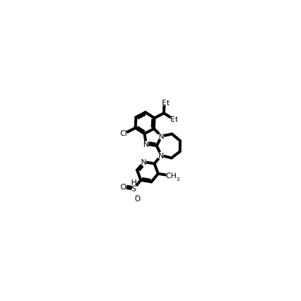 CCC(CC)c1ccc(Cl)c2nc3n(c12)CCCCN3C1N=CC([SH](=O)=O)=CC1C